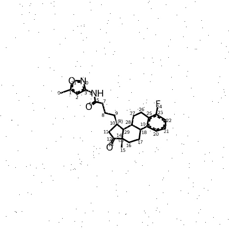 Cc1cc(NC(=O)CCC[C@@H]2CC(=O)[C@@]3(C)CCC4c5cccc(F)c5CCC4C23)no1